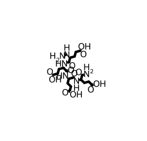 NNC(CCC(=O)O)C(=O)NC(CCC(=O)O)C(=O)NC(CCC(=O)O)C(=O)NC(CCC(=O)O)C(N)=O